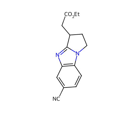 CCOC(=O)CC1CCn2c1nc1cc(C#N)ccc12